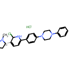 CN1CCC[C@H]1C1=CC=C(c2ccc(N3CCN(c4ccccc4)CC3)cc2)NC1Cl.Cl